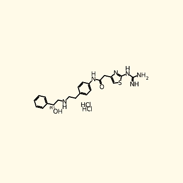 Cl.Cl.N=C(N)Nc1nc(CC(=O)Nc2ccc(CCNC[C@H](O)c3ccccc3)cc2)cs1